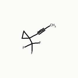 CC#CC1(C(F)(F)F)CC1